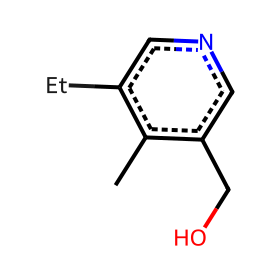 CCc1cncc(CO)c1C